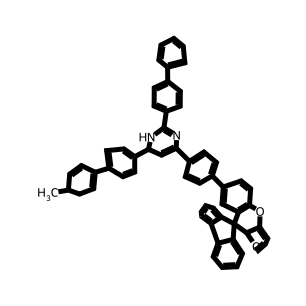 CC1C=CC(c2ccc(C3C=C(c4ccc(-c5ccc6c(c5)C5(c7ccccc7-c7ccccc75)C5CC=CC=C5O6)cc4)N=C(c4ccc(-c5ccccc5)cc4)N3)cc2)=CC1